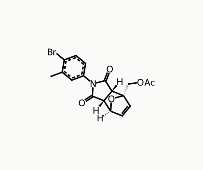 CC(=O)OC[C@]12C=C[C@H](O1)[C@@H]1C(=O)N(c3ccc(Br)c(C)c3)C(=O)[C@@H]12